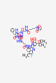 C=C(OC)c1cc2n(c(=O)c1CO)Cc1c-2nc2cc(F)c(C)c3c2c1[C@@H](NC(=O)CCCNC(=O)CNC(=O)C(Cc1ccccc1)NC(=O)CNC(=O)CNC(=O)CCCCCN1OCC=CC1=O)CC3